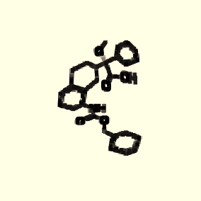 CO[C@@](C(=O)O)(c1ccccc1)C1CCc2cccc(NC(=O)OCc3ccccc3)c2C1